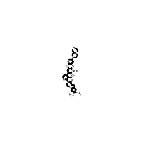 Cn1cc(-c2ccnc(-n3ccn4c5c(cc4c3=O)CC(C)(C)C5)c2CO)cc(Nc2ccc(N3CCN4CCOCC4C3)cn2)c1=O